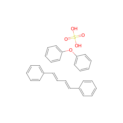 C(/C=C/c1ccccc1)=C\c1ccccc1.O=S(=O)(O)O.c1ccc(Oc2ccccc2)cc1